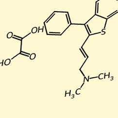 CN(C)CC=Cc1sc2ccccc2c1-c1ccccc1.O=C(O)C(=O)O